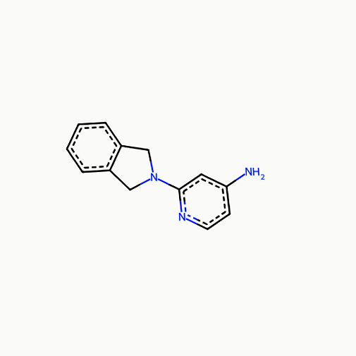 Nc1ccnc(N2Cc3ccccc3C2)c1